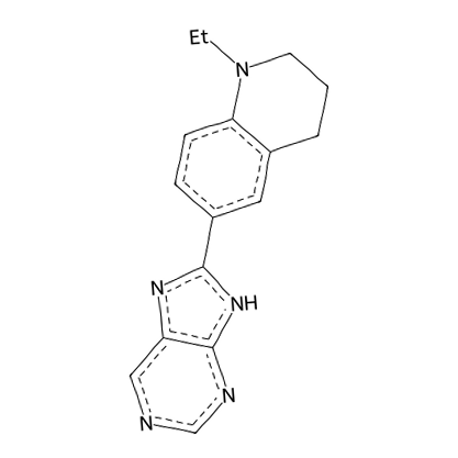 CCN1CCCc2cc(-c3nc4cncnc4[nH]3)ccc21